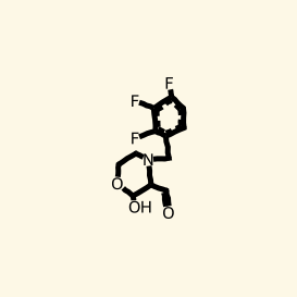 O=CC1C(O)OCCN1Cc1ccc(F)c(F)c1F